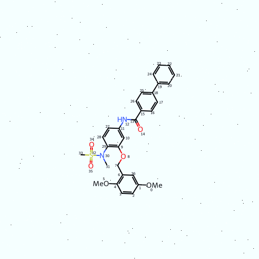 COc1ccc(OC)c(COc2cc(NC(=O)c3ccc(-c4ccccc4)cc3)ccc2N(C)S(C)(=O)=O)c1